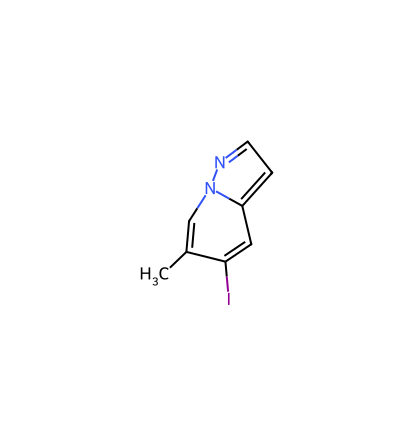 Cc1cn2nccc2cc1I